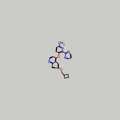 Cc1ccc(Oc2ccnc3ccc(OCC4CCC4)cc23)c(-c2ncccn2)n1